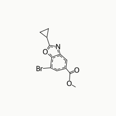 COC(=O)c1cc(Br)c2oc(C3CC3)nc2c1